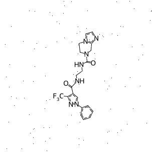 O=C(NCCNC(=O)N1CCn2ccnc2C1)c1cn(-c2ccccc2)nc1C(F)(F)F